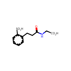 O=C(O)CNC(=O)CCc1ccccc1S(=O)(=O)O